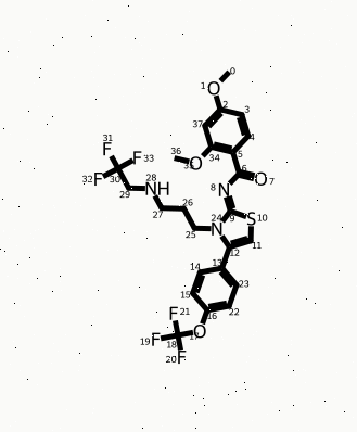 COc1ccc(C(=O)/N=c2\scc(-c3ccc(OC(F)(F)F)cc3)n2CCCNCC(F)(F)F)c(OC)c1